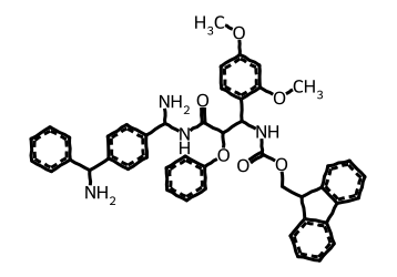 COc1ccc(C(NC(=O)OCC2c3ccccc3-c3ccccc32)C(Oc2ccccc2)C(=O)NC(N)c2ccc(C(N)c3ccccc3)cc2)c(OC)c1